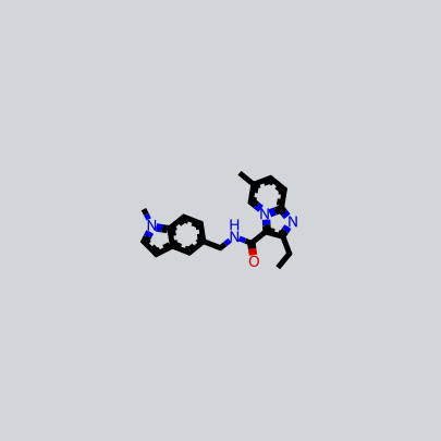 CCc1nc2ccc(C)cn2c1C(=O)NCc1ccc2c(ccn2C)c1